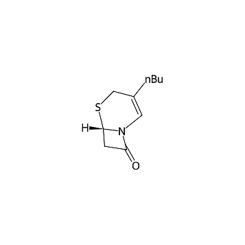 CCCCC1=CN2C(=O)C[C@@H]2SC1